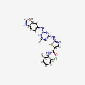 Cc1nc(Nc2ccc3ncsc3c2)nc(Nc2ncc(C(=O)Nc3c(C)cccc3Cl)s2)n1